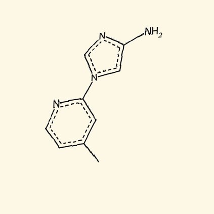 Cc1ccnc(-n2cnc(N)c2)c1